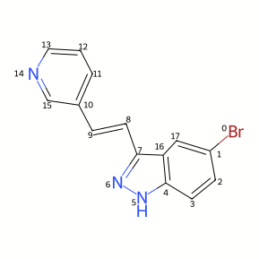 Brc1ccc2[nH]nc(/C=C/c3cccnc3)c2c1